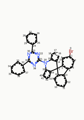 Brc1ccc2c(c1)C1(c3ccccc3-2)c2ccccc2N(c2nc(-c3ccccc3)nc(-c3ccccc3)n2)c2ccccc21